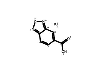 Cl.O=C(O)c1ccc2nonc2c1